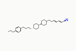 CCCc1ccc(CCCC[C@H]2CC[C@H](C3CCC(CC/C=C/C=C/C#N)CC3)CC2)cc1